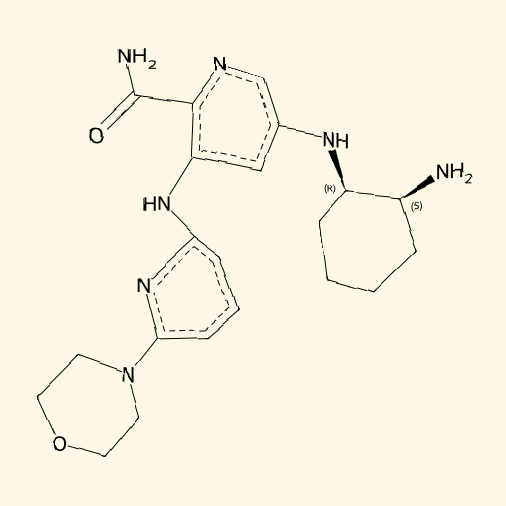 NC(=O)c1ncc(N[C@@H]2CCCC[C@@H]2N)cc1Nc1cccc(N2CCOCC2)n1